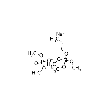 CCCO[Si](OC)(OC)OC.COP(=O)([O-])OC.[Na+]